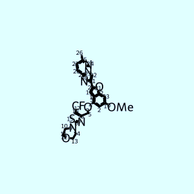 COc1cc(OCc2nc(N3CCOCC3)sc2C(F)(F)F)c2cc(-c3cn4nc(C)ccc4n3)oc2c1